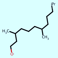 CC(C)CCCC(C)CCCC(C)CC[O]